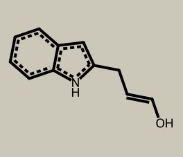 OC=CCc1cc2ccccc2[nH]1